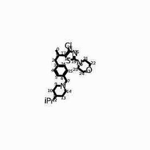 CC(Cc1ccc(CN2CCC(C(C)C)CC2)cc1)c1sc(N2CCOCC2)nc1Cl